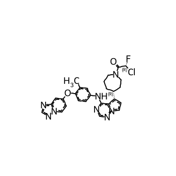 Cc1cc(Nc2ncnn3ccc([C@@H]4CCCN(C(=O)[C@H](F)Cl)CC4)c23)ccc1Oc1ccn2ncnc2c1